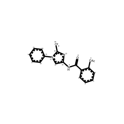 CC(=O)Oc1ccccc1C(=O)Nc1cn(-c2ccccc2)c(C(F)(F)F)n1